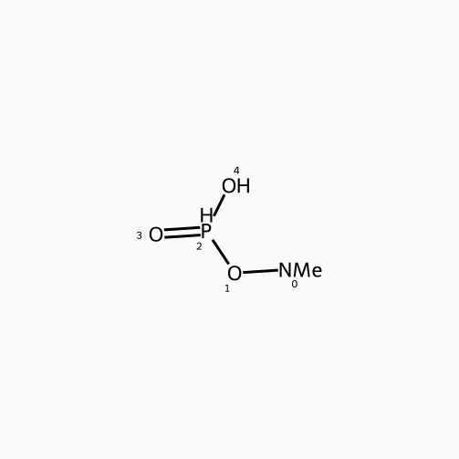 CNO[PH](=O)O